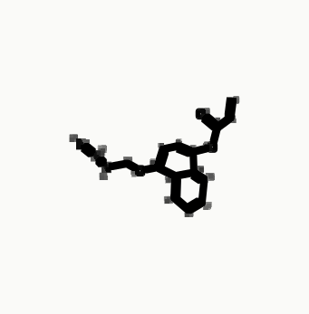 C=CC(=O)Oc1ccc(OCN=[N+]=[N-])c2ccccc12